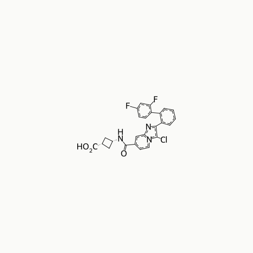 O=C(N[C@H]1C[C@@H](C(=O)O)C1)c1ccn2c(Cl)c(-c3ccccc3-c3ccc(F)cc3F)nc2c1